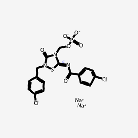 O=C(/N=c1\sn(Cc2ccc(Cl)cc2)c(=O)n1COP(=O)([O-])[O-])c1ccc(Cl)cc1.[Na+].[Na+]